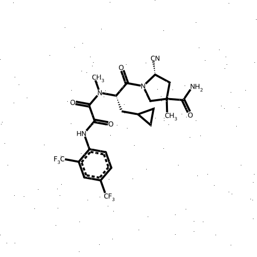 CN(C(=O)C(=O)Nc1ccc(C(F)(F)F)cc1C(F)(F)F)[C@@H](CC1CC1)C(=O)N1CC(C)(C(N)=O)C[C@H]1C#N